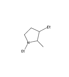 CCC1CCN(CC)C1C